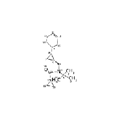 CC(C)(C)N(C[C@H]1CC1C1CC=CCC1)C(=O)C1CC1